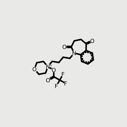 O=C1CCC(=O)N(CCCC[N+]2(OC(=O)C(F)(F)F)CCOCC2)c2ccccc21